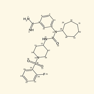 N=C(N)c1cccc(N(C(=O)NC2CCN(S(=O)(=O)c3ccccc3F)CC2)C2CCCCCC2)c1